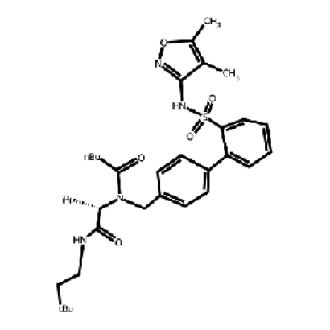 CCCCC(=O)N(Cc1ccc(-c2ccccc2S(=O)(=O)Nc2noc(C)c2C)cc1)[C@H](C(=O)NCCC(C)(C)C)C(C)C